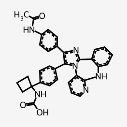 CC(=O)Nc1ccc(-c2nc3n(c2-c2ccc(C4(NC(=O)O)CCC4)cc2)-c2cccnc2Nc2ccccc2-3)cc1